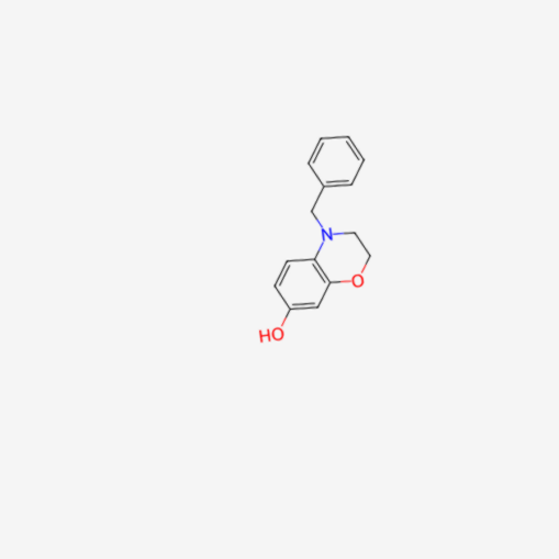 Oc1ccc2c(c1)OCCN2Cc1ccccc1